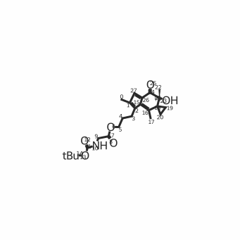 CC1=C(CCCOC(=O)CNC(=O)OC(C)(C)C)C2=C(C)C3(CC3)[C@@](C)(O)C(=O)C2=C1